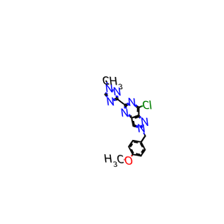 COc1ccc(Cn2cc3nc(-c4ncn(C)n4)nc(Cl)c3n2)cc1